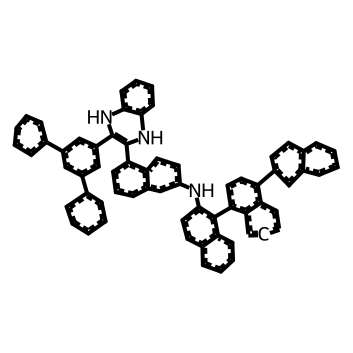 c1ccc(-c2cc(C3=C(c4cccc5cc(Nc6ccc7ccccc7c6-c6ccc(-c7ccc8ccccc8c7)c7ccccc67)ccc45)Nc4ccccc4N3)cc(-c3ccccc3)c2)cc1